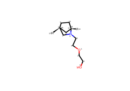 OCCOCCN1C[C@@H]2CC[C@H]1C2